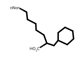 CCCCCCCCCCCCCCC(CC1CCCCC1)C(=O)O